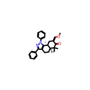 CO/C=C1/C[C@]2(C)c3c(c(-c4ccccc4)nn3-c3ccccc3)CC[C@H]2C(C)(C)C1=O